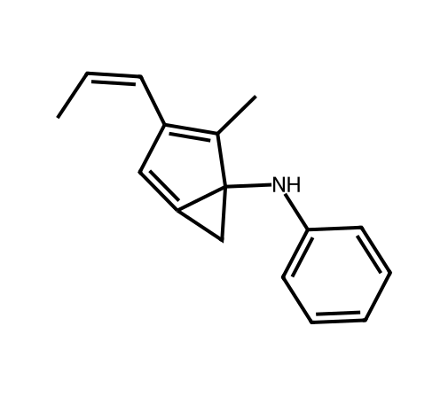 C/C=C\C1=C(C)C2(Nc3ccccc3)CC2=C1